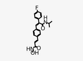 CC(C)NC(=O)C(=Cc1ccc(C=CC(=O)NO)cc1)c1ccc(F)cc1